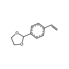 C=Cc1ccc(C2OCCO2)cc1